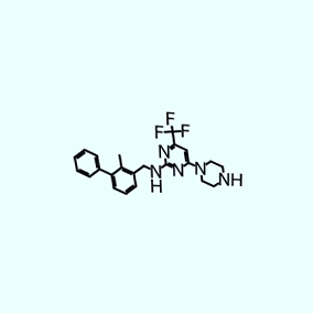 Cc1c(CNc2nc(N3CCNCC3)cc(C(F)(F)F)n2)cccc1-c1ccccc1